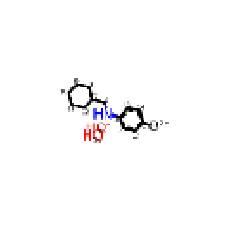 [B+2]c1ccc(NCC2CCCCC2)cc1.[OH-].[OH-]